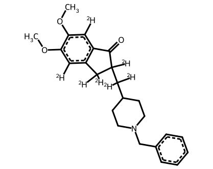 [2H]c1c(OC)c(OC)c([2H])c2c1C(=O)C([2H])(C([2H])([2H])C1CCN(Cc3ccccc3)CC1)C2([2H])[2H]